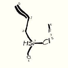 C=CC[SiH](Cl)Cl.CF